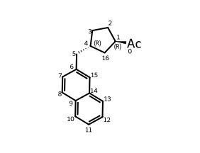 CC(=O)[C@@H]1CC[C@@H](Cc2ccc3ccccc3c2)C1